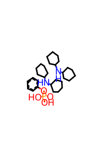 C1CCC(NC2CCCCC2)CC1.C1CCC(NC2CCCCC2)CC1.O=P(O)(O)Oc1ccccc1